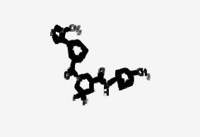 Cc1ccc(NC(=O)C2CN(C(=O)c3cccc(-c4cncn4C)c3)CC(F)(F)C2)cc1